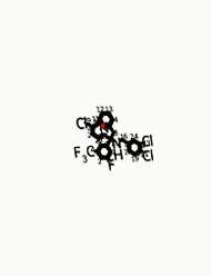 Fc1cc(C(F)(F)F)cc(C(Cc2ccccc2)(NCc2ccc(Cl)c(Cl)c2)c2ccc(Cl)cn2)c1